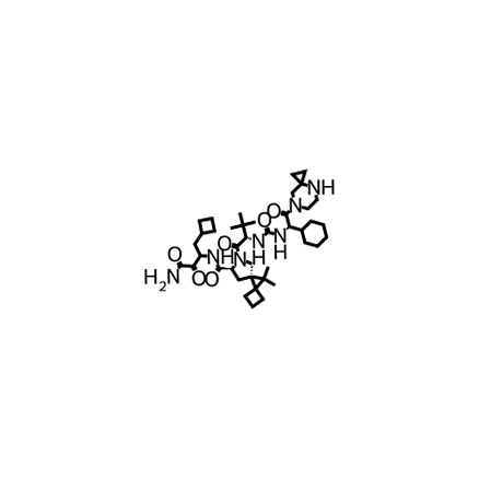 CC(C)(C)[C@H](NC(=O)N[C@H](C(=O)N1CCNC2(CC2)C1)C1CCCCC1)C(=O)N1C[C@]2(C[C@H]1C(=O)NC(CC1CCC1)C(=O)C(N)=O)C(C)(C)C21CCC1